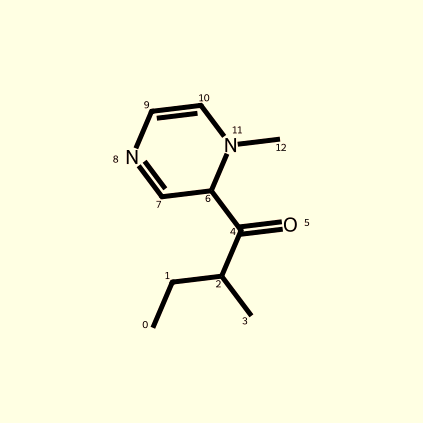 CCC(C)C(=O)C1C=NC=CN1C